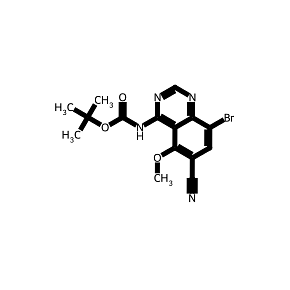 COc1c(C#N)cc(Br)c2ncnc(NC(=O)OC(C)(C)C)c12